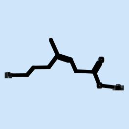 CCCCOC(=O)CC=C(C)CCCC(C)C